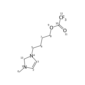 CN1C=CN(CCCCOC(=O)C(F)(F)F)C1